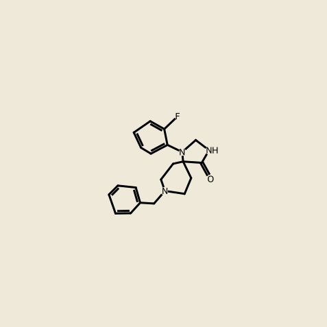 O=C1NCN(c2ccccc2F)C12CCN(Cc1ccccc1)CC2